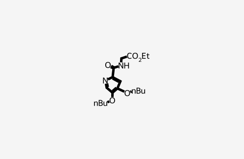 CCCCOc1cnc(C(=O)NCC(=O)OCC)cc1OCCCC